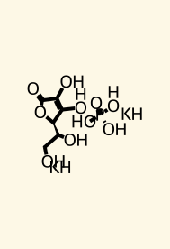 O=C1O[C@H](C(O)CO)C(O)=C1O.O=P(O)(O)O.[KH].[KH]